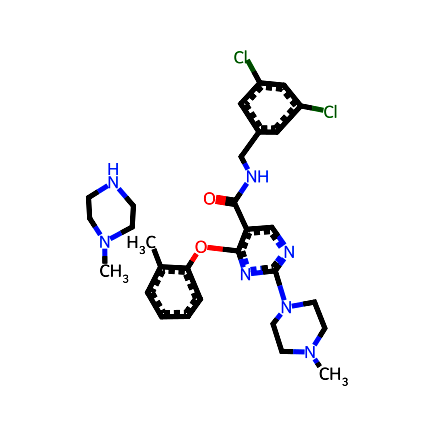 CN1CCNCC1.Cc1ccccc1Oc1nc(N2CCN(C)CC2)ncc1C(=O)NCc1cc(Cl)cc(Cl)c1